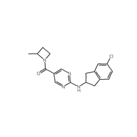 CC1CCN1C(=O)c1cnc(NC2Cc3ccc(Cl)cc3C2)nc1